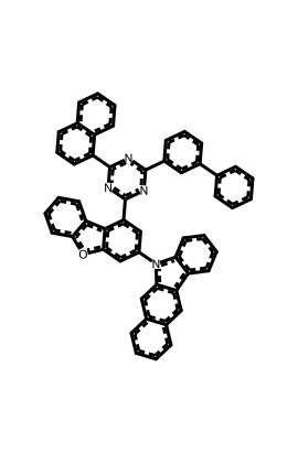 c1ccc(-c2cccc(-c3nc(-c4cccc5ccccc45)nc(-c4cc(-n5c6ccccc6c6cc7ccccc7cc65)cc5oc6ccccc6c45)n3)c2)cc1